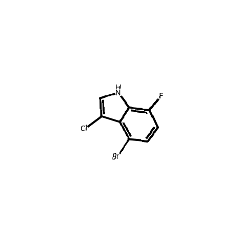 Fc1ccc(Br)c2c(Cl)c[nH]c12